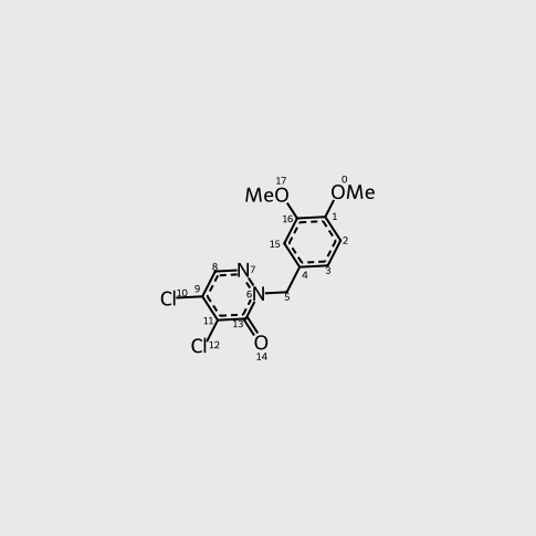 COc1ccc(Cn2ncc(Cl)c(Cl)c2=O)cc1OC